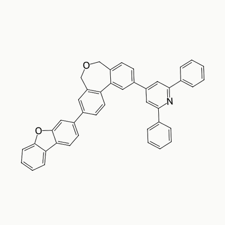 c1ccc(-c2cc(-c3ccc4c(c3)-c3ccc(-c5ccc6c(c5)oc5ccccc56)cc3COC4)cc(-c3ccccc3)n2)cc1